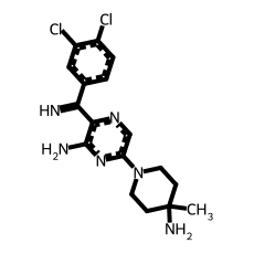 CC1(N)CCN(c2cnc(C(=N)c3ccc(Cl)c(Cl)c3)c(N)n2)CC1